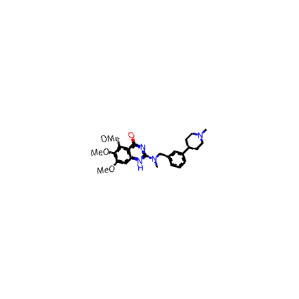 COc1cc2[nH]c(N(C)Cc3cccc(C4CCN(C)CC4)c3)nc(=O)c2c(OC)c1OC